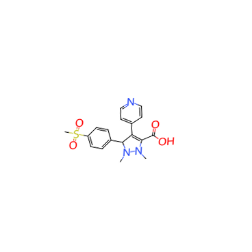 CN1C(C(=O)O)=C(c2ccncc2)C(c2ccc(S(C)(=O)=O)cc2)N1C